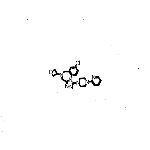 Clc1ccc2c(c1)CN(C1COC1)Cc1nnc(N3CCN(c4ccccn4)CC3)n1-2